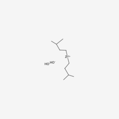 CC(C)C[CH2][Zr+2][CH2]CC(C)C.[OH-].[OH-]